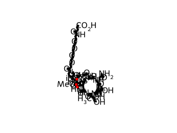 CC[C@H](C)[C@@H]1NC(=O)CNC(=O)[C@@H]2Cc3c([nH]c4c(CSC5CCN(C(=O)CCOCCOCCOCCOCCNC(=O)CCC(=O)O)CC5)c(OC)ccc34)[S+]([O-])C[C@H](NC(=O)CNC1=O)C(=O)N[C@@H](CCC(N)=O)C(=O)N1C[C@H](O)C[C@H]1C(=O)N[C@@H]([C@@H](C)[C@@H](O)CO)C(=O)N2